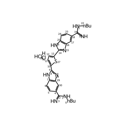 CCCCNC(=N)c1ccc2[nH]c(-c3ccc(-c4nc5cc(C(=N)NCCCC)ccc5[nH]4)s3)nc2c1.Cl.Cl